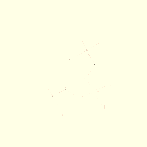 O=P(Cl)(OCC(F)(F)F)OCC(F)(F)F